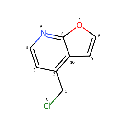 ClCc1ccnc2occc12